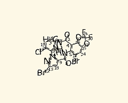 CNC(=O)c1c(NC(=O)c2cc(Br)nn2-c2ncccc2Cl)c(Br)cc2c1OC(F)(F)O2